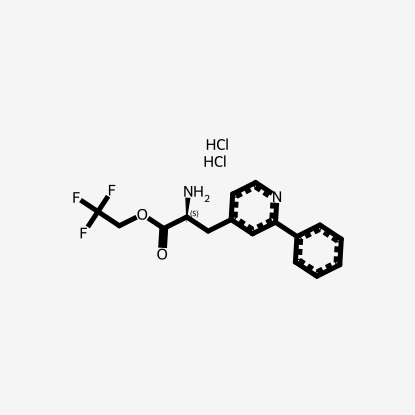 Cl.Cl.N[C@@H](Cc1ccnc(-c2ccccc2)c1)C(=O)OCC(F)(F)F